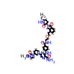 C=C1CCC(N2Cc3c(CCOCCNC(=O)c4ccc(Nc5nc(N6CCC[C@@H](N7CCN(C)C7=O)C6)cnc5C(N)=O)cc4)cccc3C2=O)C(=O)N1